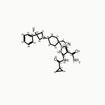 N#CC[C@]1(n2cc(C(N)=O)c(NC(=O)C3CC3)n2)CC[C@H](N2CC(F)(c3ccccc3)C2)CC1